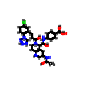 CC(=O)Nc1cnc2c(c1)C(C(=O)Nc1ccc(C(=O)O)cc1)N(C(=O)C=Cc1cc(Cl)ccc1-n1cnnn1)CC2